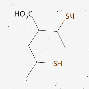 CC(S)CC(C(=O)O)C(C)S